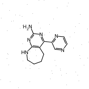 Nc1nc2c(c(-c3cnccn3)n1)CCCCN2